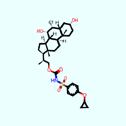 CC[C@H]1[C@@H](O)[C@@H]2[C@H](CC[C@]3(C)[C@@H]([C@H](C)COC(=O)NS(=O)(=O)c4ccc(OC5CC5)cc4)CC[C@@H]23)[C@@]2(C)CC[C@@H](O)C[C@@H]12